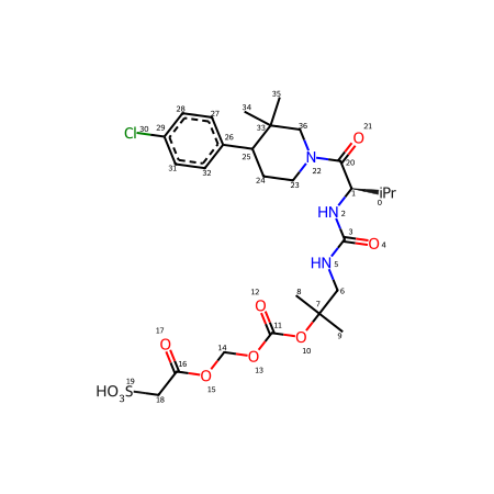 CC(C)[C@@H](NC(=O)NCC(C)(C)OC(=O)OCOC(=O)CS(=O)(=O)O)C(=O)N1CCC(c2ccc(Cl)cc2)C(C)(C)C1